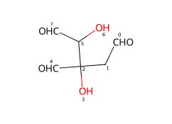 O=CCC(O)(C=O)C(O)C=O